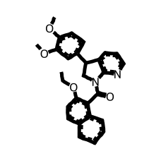 CCOc1ccc2ccccc2c1C(=O)N1CC(c2ccc(OC)c(OC)c2)c2cccnc21